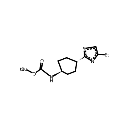 CCc1csc([C@H]2CC[C@H](NC(=O)OC(C)(C)C)CC2)n1